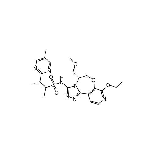 CCOc1nccc2c1OC[C@@H](COC)n1c(NS(=O)(=O)[C@@H](C)[C@H](C)c3ncc(C)cn3)nnc1-2